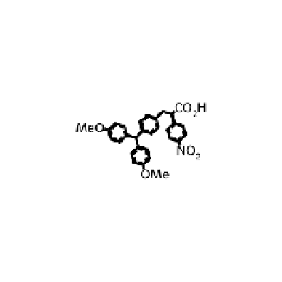 COc1ccc(C(c2ccc(CC(C(=O)O)c3ccc([N+](=O)[O-])cc3)cc2)c2ccc(OC)cc2)cc1